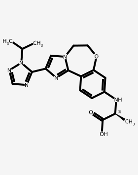 CC(C)n1ncnc1-c1cn2c(n1)-c1ccc(N[C@@H](C)C(=O)O)cc1OCC2